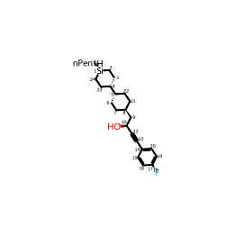 CCCCC[Si@H]1CC[C@H]([C@H]2CC[C@H](CC(O)C#Cc3ccc(F)cc3)CC2)CC1